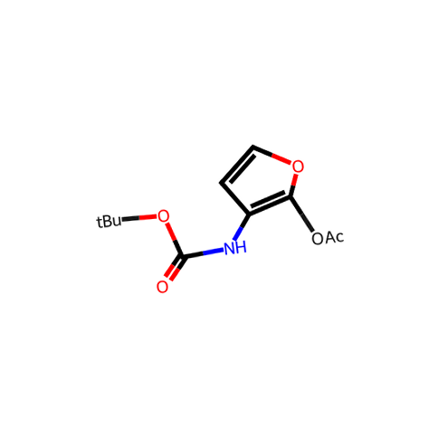 CC(=O)Oc1occc1NC(=O)OC(C)(C)C